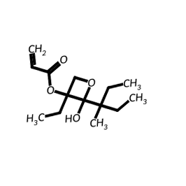 C=CC(=O)OC1(CC)COC1(O)C(C)(CC)CC